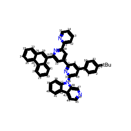 CC(C)(C)c1ccc(-c2cc(-c3cc(-c4ccccn4)nc(-c4cc5ccccc5c5ccccc45)c3)nc(-n3c4ccccc4c4ccncc43)c2)cc1